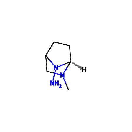 CN1CC2CC[C@@H]1N2N